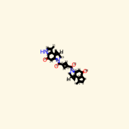 CC1=CCC2=C1C13C[C@@H]1CN(C(=O)C14CC(C(=O)N5C[C@H]6CC67C5=CC(=O)c5[nH]cc(C)c57)(C1)C4)C3=CC2=O